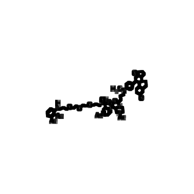 CC(=O)c1cccc(NCCCOCCOCCOCCCN(C)C(=O)C2CN(C(C)=O)CCN2C(=O)C2CN(C(C)=O)CCN2C(=O)CCCN(C)c2ccc(C3CC45OC4CCC5C4CCC5=CC(=O)CCC5=C34)cc2)c1C(C)=O